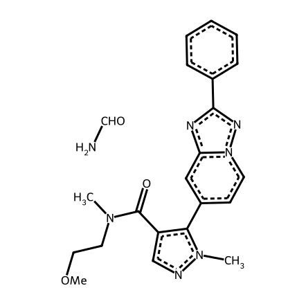 COCCN(C)C(=O)c1cnn(C)c1-c1ccn2nc(-c3ccccc3)nc2c1.NC=O